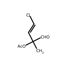 CC(=O)OC(C)(C=O)C=CCl